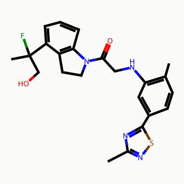 Cc1nsc(-c2ccc(C)c(NCC(=O)N3CCc4c3cccc4C(C)(F)CO)c2)n1